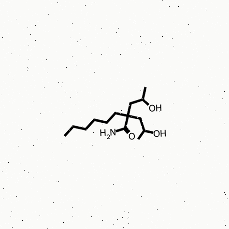 CCCCCCC(CC(C)O)(CC(C)O)C(N)=O